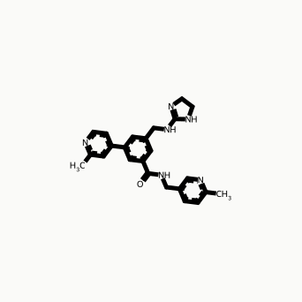 Cc1ccc(CNC(=O)c2cc(CNC3=NCCN3)cc(-c3ccnc(C)c3)c2)cn1